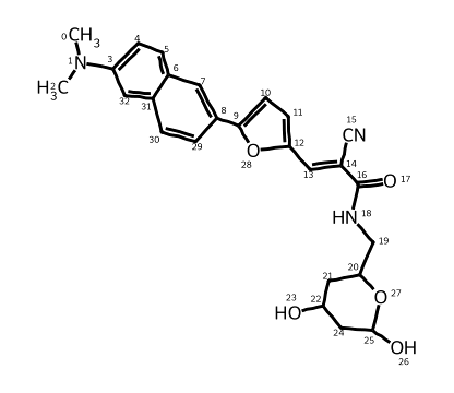 CN(C)c1ccc2cc(-c3ccc(/C=C(\C#N)C(=O)NCC4CC(O)CC(O)O4)o3)ccc2c1